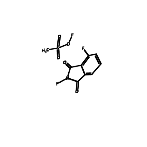 CS(=O)(=O)OF.O=C1c2cccc(F)c2C(=O)N1F